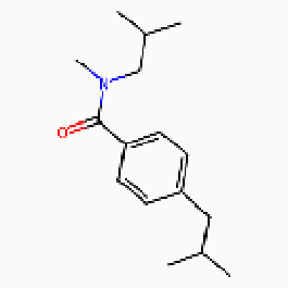 CC(C)Cc1ccc(C(=O)N(C)CC(C)C)cc1